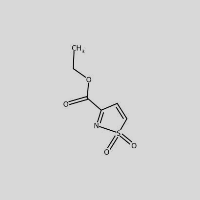 CCOC(=O)C1=NS(=O)(=O)C=C1